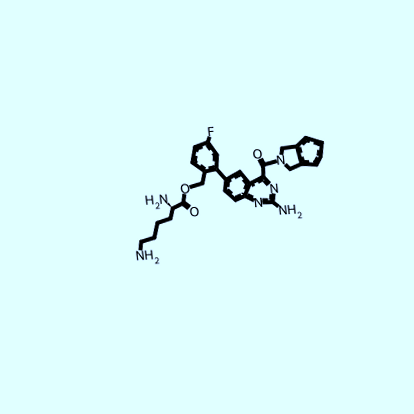 NCCCC[C@H](N)C(=O)OCc1ccc(F)cc1-c1ccc2nc(N)nc(C(=O)N3Cc4ccccc4C3)c2c1